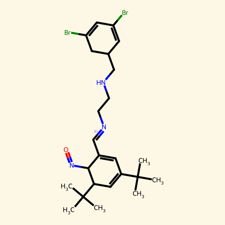 CC(C)(C)C1=CC(C(C)(C)C)C(N=O)C(/C=N/CCNCC2C=C(Br)C=C(Br)C2)=C1